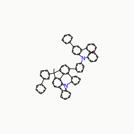 CC1(c2cccc(-c3ccccc3)c2)c2ccc(-c3cccc(N(c4ccccc4)c4ccc(-c5ccccc5)cc4-c4ccccc4)c3)c3c2-c2c1ccc1c4ccccc4n(c21)-c1ccccc1-3